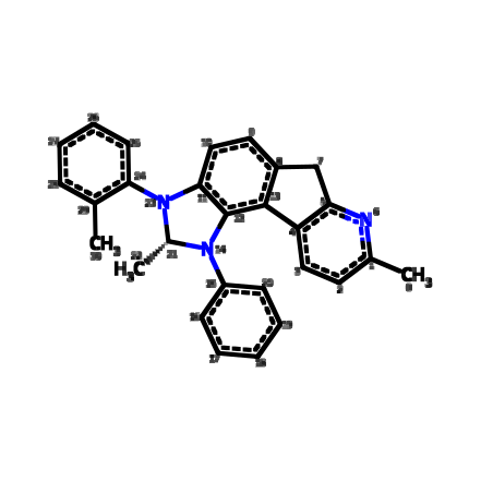 Cc1ccc2c(n1)Cc1ccc3c(c1-2)N(c1ccccc1)[C@H](C)N3c1ccccc1C